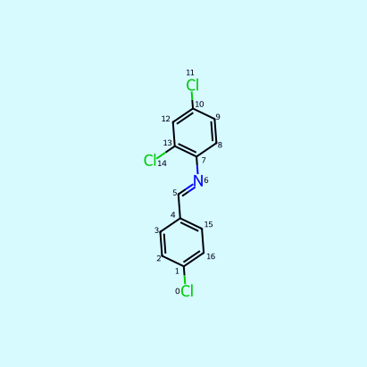 Clc1ccc(/C=N/c2ccc(Cl)cc2Cl)cc1